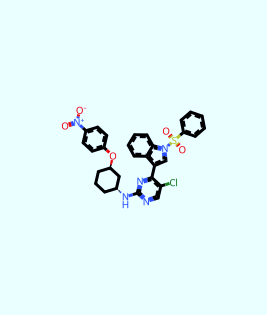 O=[N+]([O-])c1ccc(O[C@@H]2CCC[C@@H](Nc3ncc(Cl)c(-c4cn(S(=O)(=O)c5ccccc5)c5ccccc45)n3)C2)cc1